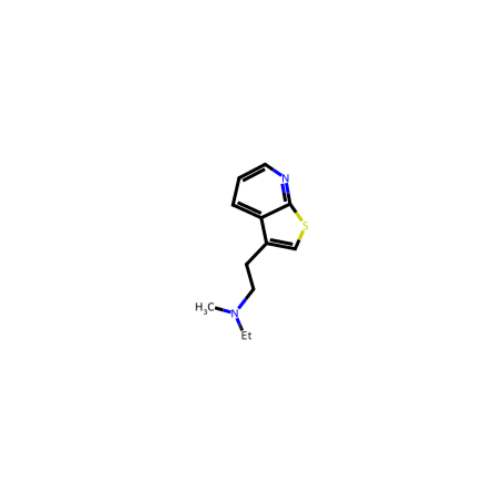 CCN(C)CCc1csc2ncccc12